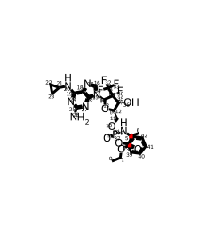 CCOC(=O)C(C)N[P@](=O)(OC[C@H]1O[C@@H](n2cnc3c(NC4CC4)nc(N)nc32)[C@@](F)(C(F)(F)F)[C@@H]1O)Oc1ccccc1